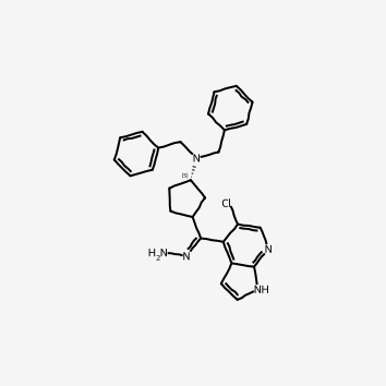 NN=C(c1c(Cl)cnc2[nH]ccc12)C1CC[C@H](N(Cc2ccccc2)Cc2ccccc2)C1